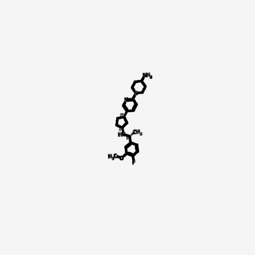 COc1cc([C@@H](C)N[C@H]2CC[C@@H](c3ccc(N4CCC(N)CC4)nc3)C2)ccc1F